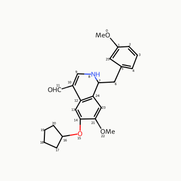 COc1cccc(CC2NC=C(C=O)c3cc(OC4CCCC4)c(OC)cc32)c1